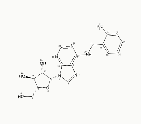 OC[C@H]1O[C@@H](n2cnc3c(NCc4ccccc4C(F)(F)F)ncnc32)[C@@H](O)[C@@H]1O